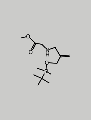 C=C(CNCC(=O)OC)CO[Si](C)(C)C(C)(C)C